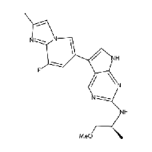 COC[C@H](C)Nc1ncc2c(-c3cc(F)c4nc(C)cn4c3)c[nH]c2n1